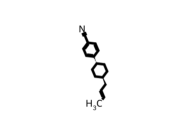 C/C=C/C[C@H]1CC[C@H](c2ccc(C#N)cc2)CC1